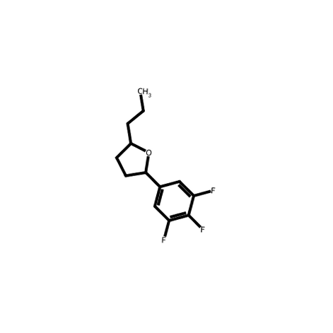 CCCC1CCC(c2cc(F)c(F)c(F)c2)O1